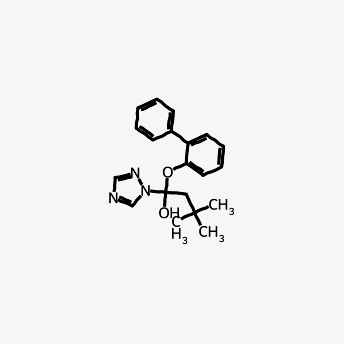 CC(C)(C)CC(O)(Oc1ccccc1-c1ccccc1)n1cncn1